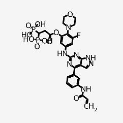 C=CC(=O)Nc1cccc(-c2nc(Nc3cc(F)c(N4CCOCC4)c(OC(=O)CC(P(=O)(O)O)P(=O)(O)O)c3)nc3[nH]ncc23)c1